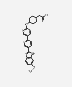 COc1ccc2nc(-c3ccc(-c4cnc(OC5CCC(CC(=O)O)CC5)nc4)nc3)[nH]c2c1